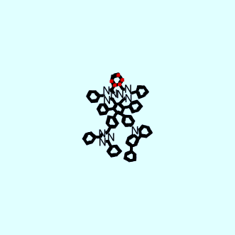 c1ccc(-c2ccc3c(c2)c2ccccc2n3-c2ccc(-c3c(-c4ccc(-c5nc(-c6ccccc6)nc(-c6ccccc6)n5)cc4)c(-c4ccccc4)c(-c4nc(-c5ccccc5)nc(-c5ccccc5)n4)c(-c4nc(-c5ccccc5)nc(-c5ccccc5)n4)c3-c3ccccc3)cc2)cc1